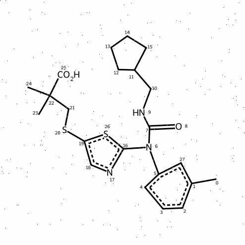 Cc1cccc(N(C(=O)NCC2CCCC2)c2ncc(SCC(C)(C)C(=O)O)s2)c1